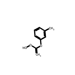 C=C(OO)Oc1cccc(C)c1